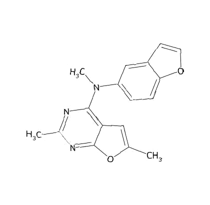 Cc1nc(N(C)c2ccc3occc3c2)c2cc(C)oc2n1